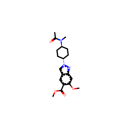 COC(=O)c1cc2cn([C@H]3CC[C@H](N(C)C(C)=O)CC3)nc2cc1OC